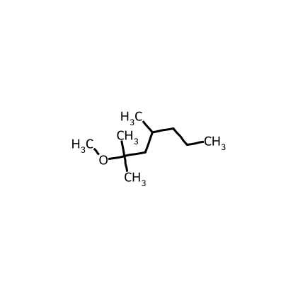 CCCC(C)CC(C)(C)OC